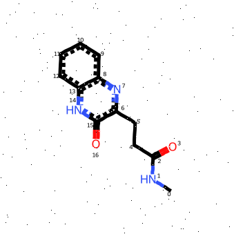 CNC(=O)CCc1nc2ccccc2[nH]c1=O